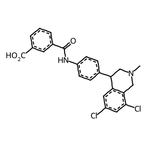 CN1Cc2c(Cl)cc(Cl)cc2C(c2ccc(NC(=O)c3cccc(C(=O)O)c3)cc2)C1